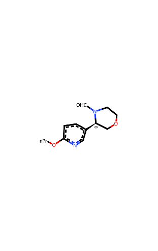 CCCOc1ccc([C@@H]2COCCN2C=O)cn1